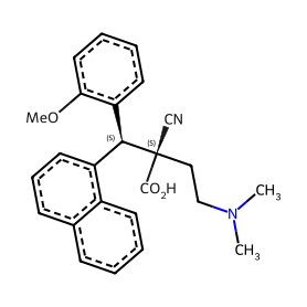 COc1ccccc1[C@H](c1cccc2ccccc12)[C@](C#N)(CCN(C)C)C(=O)O